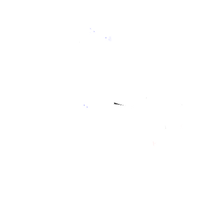 C[C@]1(C(=O)O)C[C@@H](c2c(C3CCOCC3)n(-c3ccc(F)cc3)c3cc4cn[nH]c4cc32)C1